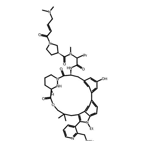 CCn1c(-c2cccnc2COC)c2c3cc(ccc31)-c1cc(O)cc(c1)C[C@H](NC(=O)C(C(C)C)N(C)C(=O)[C@H]1CCN(C(=O)/C=C/CN(C)C)C1)C(=O)N1CCC[C@H](N1)C(=O)OCC(C)(C)C2